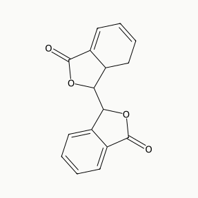 O=C1OC(C2OC(=O)c3ccccc32)C2CC=CC=C12